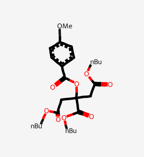 CCCCOC(=O)CC(CC(=O)OCCCC)(OC(=O)c1ccc(OC)cc1)C(=O)OCCCC